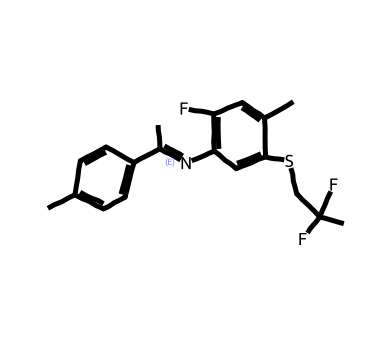 C/C(=N\c1cc(SCC(C)(F)F)c(C)cc1F)c1ccc(C)cc1